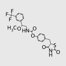 COC(CNC(=O)Oc1ccc(CC2SC(=O)NC2=O)cc1)c1cccc(C(F)(F)F)c1